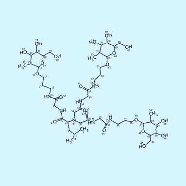 CC(C)CC(C(=O)NCC(=O)NCCCOC1OC(CO)C(O)C(O)C1C)N(CC(=O)NCC(=O)NCCCOC1OC(CO)C(O)C(O)C1C)CC(=O)NCC(=O)NCCCOC1OC(CO)C(O)C(O)C1C